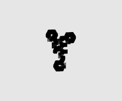 CC(N=Cc1ccccn1)N(C(C)N=Cc1ccccn1)C(C)N=Cc1ccccn1